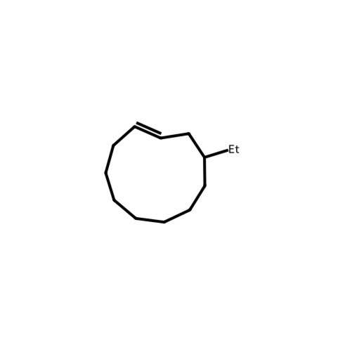 [CH2]CC1C/C=C/CCCCCCC1